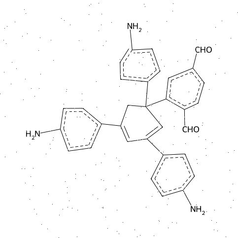 Nc1ccc(C2=CC(c3ccc(N)cc3)(c3cc(C=O)ccc3C=O)CC(c3ccc(N)cc3)=C2)cc1